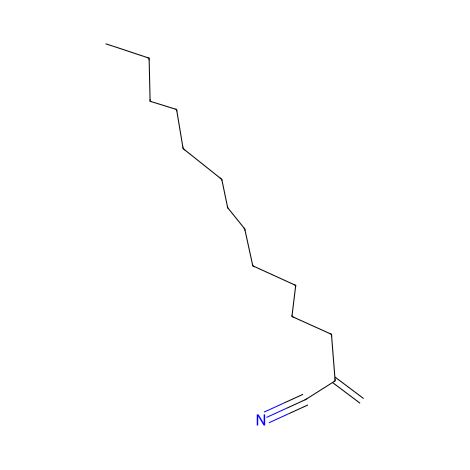 C=C(C#N)CCCCCCCCCCCC